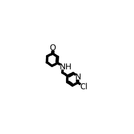 O=C1C=C(NCc2ccc(Cl)nc2)CCC1